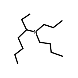 CCCCC(CC)N(CCC)CCCC